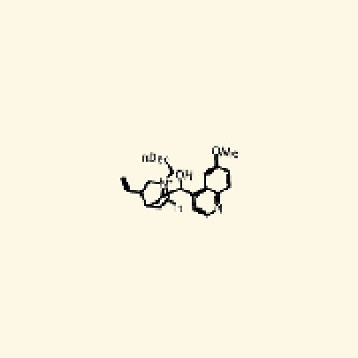 C=CC1C[N+]2(CCCCCCCCCCC)CCC1C[C@H]2[C@@H](O)c1ccnc2ccc(OC)cc12